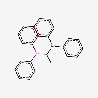 CC(P(c1ccccc1)c1ccccc1)[As](c1ccccc1)c1ccccc1